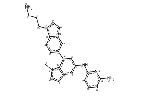 Cn1ncc2cc(Nc3ccnc(N)n3)cc(-c3ccc4c(ccn4CCCN)c3)c21